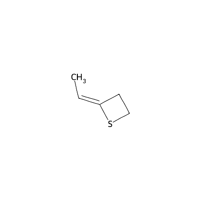 CC=C1CCS1